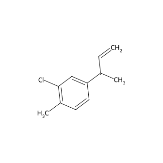 C=C[C](C)c1ccc(C)c(Cl)c1